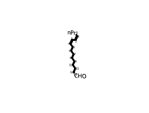 CCC/C=C\C=C/CCCCCCCCC=O